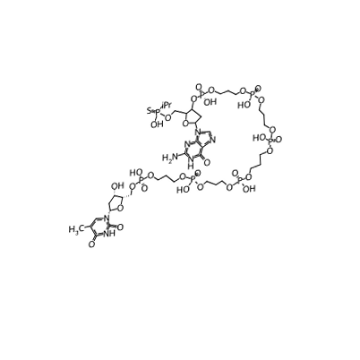 Cc1cn([C@@H]2C[C@H](O)[C@H](COP(=O)(O)OCCCOP(=O)(O)OCCCOP(=O)(O)OCCCOP(=O)(O)OCCCOP(=O)(O)OCCCOP(=O)(O)OC3CC(n4cnc5c(=O)[nH]c(N)nc54)OC3COP(O)(=S)C(C)C)O2)c(=O)[nH]c1=O